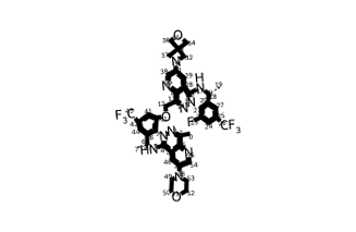 Cc1nnc(N[C@H](C)c2cc(OCc3nnc(N[C@H](C)c4cc(F)cc(C(F)(F)F)c4)c4cc(N5CC6(COC6)C5)cnc34)cc(C(F)(F)F)c2)c2cc(N3CCOCC3)cnc12